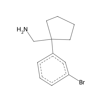 NCC1(c2cccc(Br)c2)CCCC1